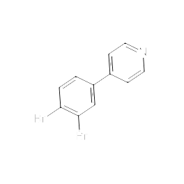 Brc1ccc(-c2c[c]ncc2)cc1Br